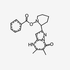 Cc1[nH]c2cc(C3CCCCN3OC(=O)c3ccccc3)nn2c(=O)c1C